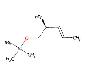 C/C=C/[C@H](CCC)CO[Si](C)(C)C(C)(C)C